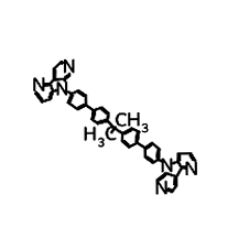 CC(C)(c1ccc(-c2ccc(-n3c4cnccc4c4ncccc43)cc2)cc1)c1ccc(-c2ccc(-n3c4cnccc4c4ncccc43)cc2)cc1